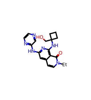 CCn1ccc2cc(Nc3cnccn3)nc(NC3(CO)CCC3)c2c1=O